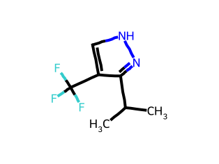 CC(C)c1n[nH]cc1C(F)(F)F